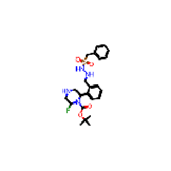 CC(C)(C)OC(=O)N1C(F)CNCC1c1ccccc1CNNS(=O)(=O)Cc1ccccc1